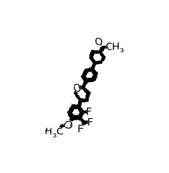 CCOc1ccc(C2CCC(c3ccc(C4CCC(C(C)=O)CC4)cc3)OC2)c(F)c1C(F)F